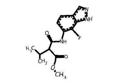 COC(=O)C(C(=O)Nc1ccc2cn[nH]c2c1F)C(C)C